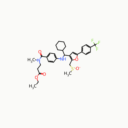 CCOC(=O)CCN(C)C(=O)c1ccc(NC(c2cc(-c3ccc(C(F)(F)F)cc3)oc2C[S+](C)[O-])C2CCCCC2)cc1